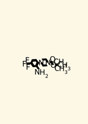 CC(C)(C)OC(=O)N1CCN(c2ccc(C(F)(F)F)cc2CN)CC1